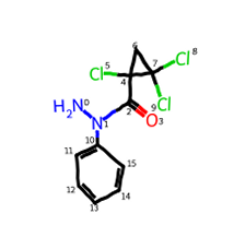 NN(C(=O)C1(Cl)CC1(Cl)Cl)c1ccccc1